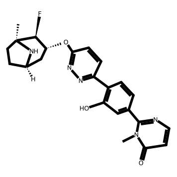 Cn1c(-c2ccc(-c3ccc(O[C@@H]4C[C@H]5CC[C@](C)(N5)[C@H]4F)nn3)c(O)c2)nccc1=O